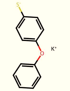 [K+].[S-]c1ccc(Oc2ccccc2)cc1